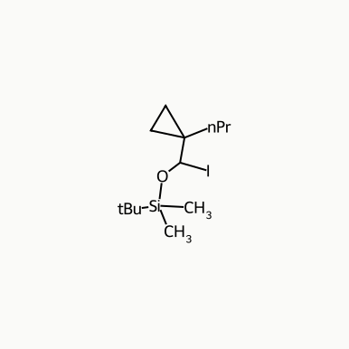 CCCC1(C(I)O[Si](C)(C)C(C)(C)C)CC1